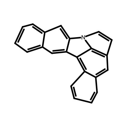 c1ccc2cc3c(cc2c1)c1c2ccccc2cc2ccn3c21